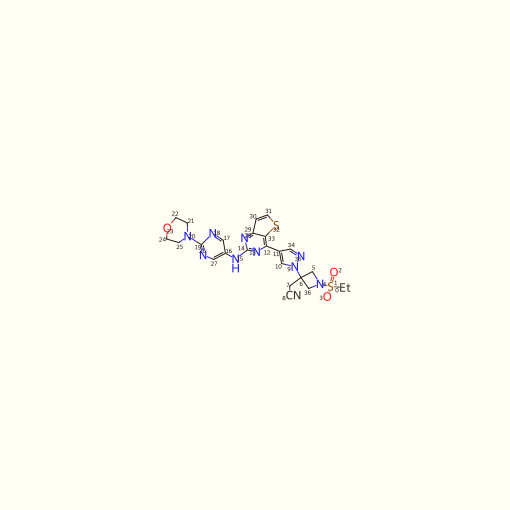 CCS(=O)(=O)N1CC(CC#N)(n2cc(-c3nc(Nc4cnc(N5CCOCC5)nc4)nc4ccsc34)cn2)C1